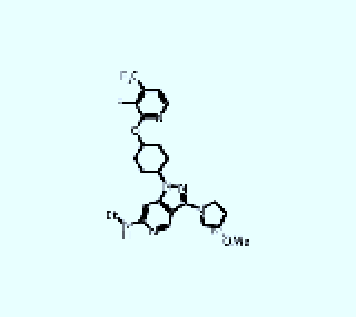 CCNc1cc2c(cn1)c(N1CC[C@H](OC)C1)nn2C1CCC(Oc2nccc(C(F)(F)F)c2F)CC1